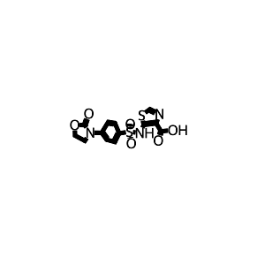 O=C(O)c1ncsc1NS(=O)(=O)c1ccc(N2CCOC2=O)cc1